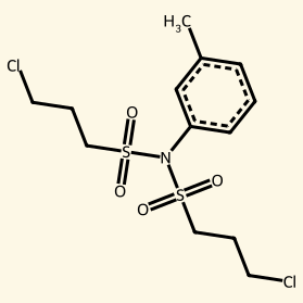 Cc1cccc(N(S(=O)(=O)CCCCl)S(=O)(=O)CCCCl)c1